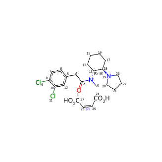 CN(C(=O)Cc1ccc(Cl)c(Cl)c1)[C@@H]1CCCC[C@H]1N1CCCC1.O=C(O)/C=C\C(=O)O